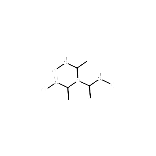 CC(C)NC(C)N(C(C)NC(C)C)C(C)NC(C)C